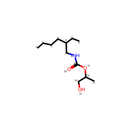 CCCCC(CC)CNC(=O)OC(C)CO